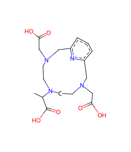 CC(C(=O)O)N1CCN(CC(=O)O)Cc2cccc(n2)CN(CC(=O)O)CC1